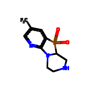 O=S1(=O)c2cc(C(F)(F)F)cnc2N2CCNCC21